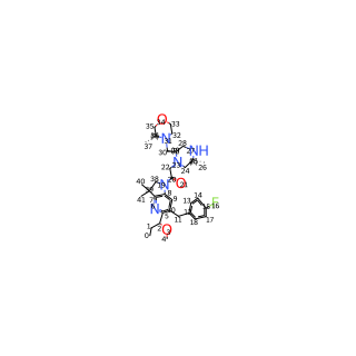 CCC(OC)c1nc2c(cc1Cc1ccc(F)cc1)N(C(=O)CN1C[C@@H](C)NC[C@@H]1CN1CCOC[C@H]1C)CC2(C)C